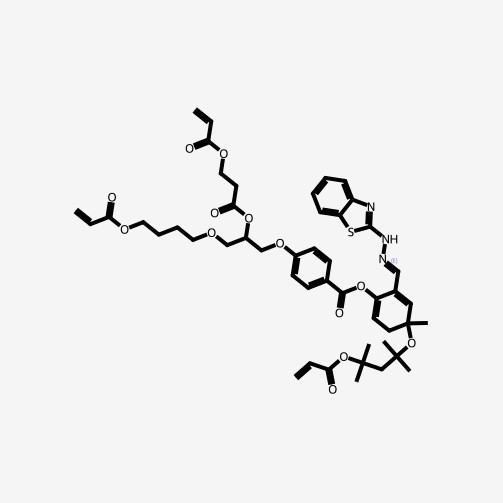 C=CC(=O)OCCCCOCC(COc1ccc(C(=O)OC2=CCC(C)(OC(C)(C)CC(C)(C)OC(=O)C=C)C=C2/C=N/Nc2nc3ccccc3s2)cc1)OC(=O)CCOC(=O)C=C